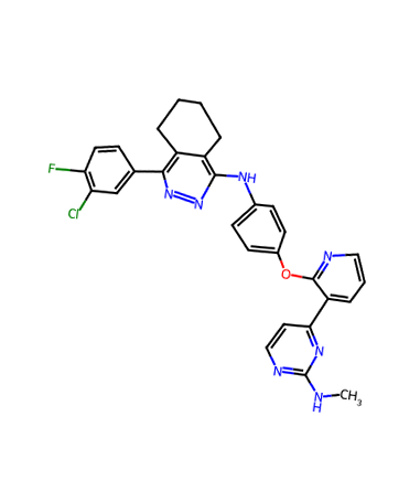 CNc1nccc(-c2cccnc2Oc2ccc(Nc3nnc(-c4ccc(F)c(Cl)c4)c4c3CCCC4)cc2)n1